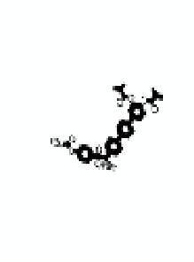 C=C(C)C(=O)Oc1ccc(-c2ccc(-c3ccc(C(=O)C(OC)(OC)c4ccc(OC(=O)C(C)(C)C)cc4)cc3)cc2)cc1OC(=O)C(=C)C